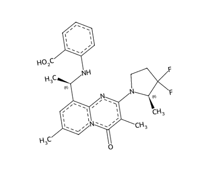 Cc1cc([C@@H](C)Nc2ccccc2C(=O)O)c2nc(N3CCC(F)(F)[C@H]3C)c(C)c(=O)n2c1